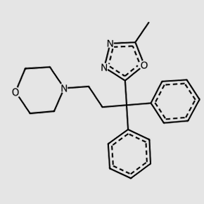 Cc1nnc(C(CCN2CCOCC2)(c2ccccc2)c2ccccc2)o1